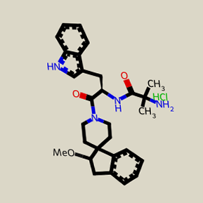 COC1Cc2ccccc2C12CCN(C(=O)[C@@H](Cc1c[nH]c3ccccc13)NC(=O)C(C)(C)N)CC2.Cl